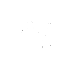 O=c1[nH]c2nc(-c3ccccc3)c(-c3cc(Cl)c4ncccc4c3)cc2cc1S(=O)(=O)CC1COC1